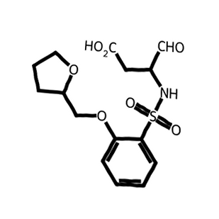 O=CC(CC(=O)O)NS(=O)(=O)c1ccccc1OCC1CCCO1